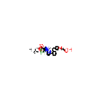 CCOC(=O)c1cnn(-c2cccc(-c3ccccc3C(C)Cc3ccc(OCCCO)cc3)n2)c1C(F)(F)F